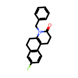 O=C1CCC2=C(CCc3cc(F)ccc32)N1Cc1ccccc1